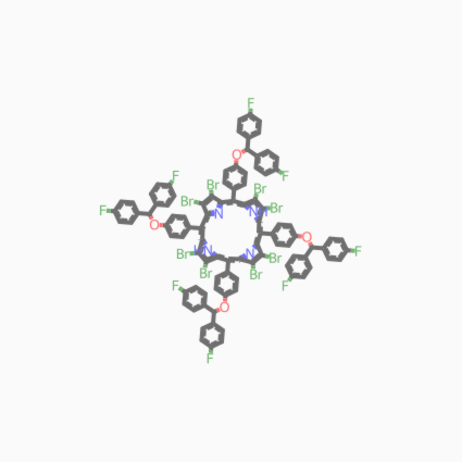 Fc1ccc(C(Oc2ccc(-c3c4nc(c(-c5ccc(OC(c6ccc(F)cc6)c6ccc(F)cc6)cc5)c5[nH]c(c(Br)c5Br)c(-c5ccc(OC(c6ccc(F)cc6)c6ccc(F)cc6)cc5)c5nc(c(-c6ccc(OC(c7ccc(F)cc7)c7ccc(F)cc7)cc6)c6[nH]c3c(Br)c6Br)C(Br)=C5Br)C(Br)=C4Br)cc2)c2ccc(F)cc2)cc1